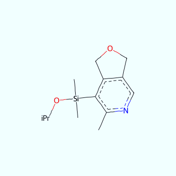 Cc1ncc2c(c1[Si](C)(C)OC(C)C)COC2